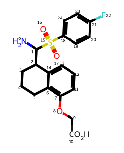 NC(C1CCCc2c(OCC(=O)O)cccc21)S(=O)(=O)c1ccc(F)cc1